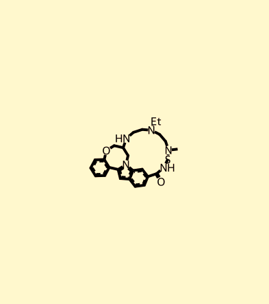 CCN1CCNC2COc3ccccc3-c3cc4ccc(cc4n3C2)C(=O)NSN(C)CC1